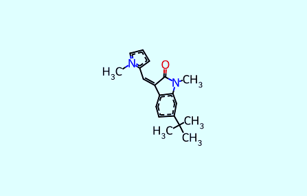 CN1C(=O)/C(=C\c2cccn2C)c2ccc(C(C)(C)C)cc21